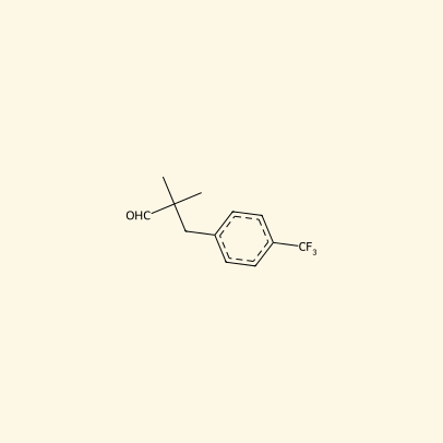 CC(C)(C=O)Cc1ccc(C(F)(F)F)cc1